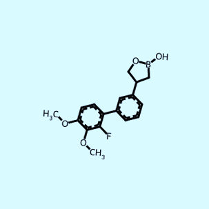 COc1ccc(-c2cccc(C3COB(O)C3)c2)c(F)c1OC